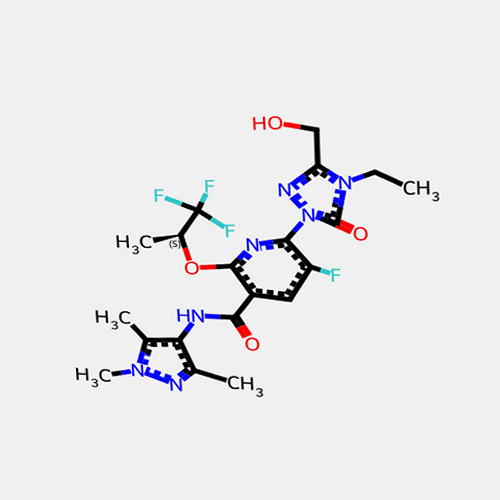 CCn1c(CO)nn(-c2nc(O[C@@H](C)C(F)(F)F)c(C(=O)Nc3c(C)nn(C)c3C)cc2F)c1=O